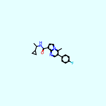 Cc1c(-c2ccc(F)cc2)cnc2c(C(=O)NC(C)C3CC3)ccn12